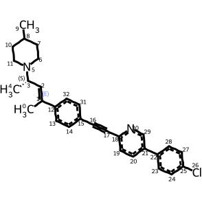 C/C(=C\[C@H](C)N1CCC(C)CC1)c1ccc(C#Cc2ccc(-c3ccc(Cl)cc3)cn2)cc1